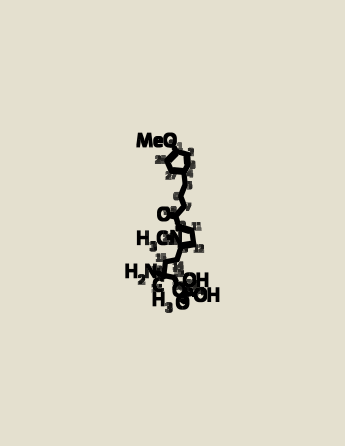 COc1ccc(CCCC(=O)c2ccc(CCC(C)(N)COP(=O)(O)O)n2C)cc1